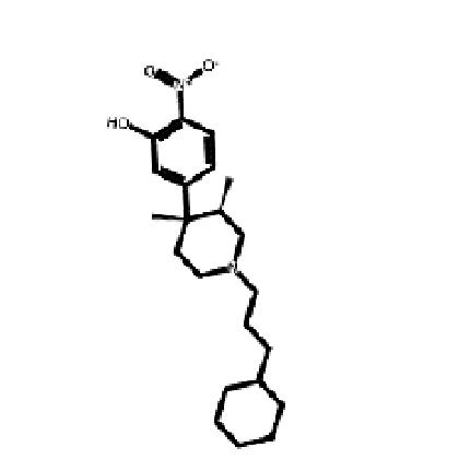 C[C@H]1CN(CCCC2CCCCC2)CC[C@]1(C)c1ccc([N+](=O)[O-])c(O)c1